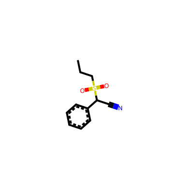 CCCS(=O)(=O)C(C#N)c1ccccc1